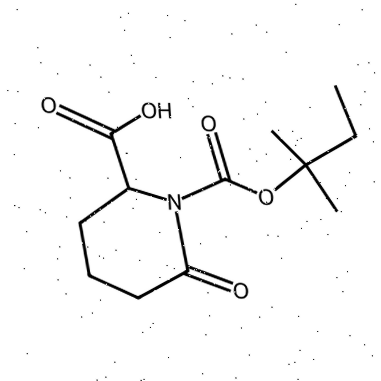 CCC(C)(C)OC(=O)N1C(=O)CCCC1C(=O)O